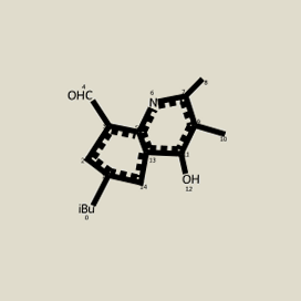 CCC(C)c1cc(C=O)c2nc(C)c(C)c(O)c2c1